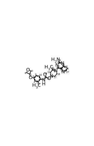 Cc1cc(OC2COC2)ccc1NC(=O)ON1CCN(c2nc(N)nc3scnc23)[C@@H](C)C1